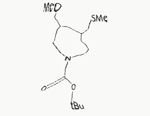 COC1CN(C(=O)OC(C)(C)C)CC1SC